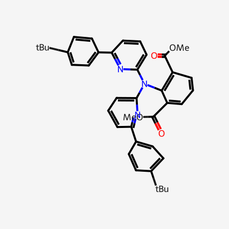 COC(=O)c1cccc(C(=O)OC)c1N(c1cccc(-c2ccc(C(C)(C)C)cc2)n1)c1cccc(-c2ccc(C(C)(C)C)cc2)n1